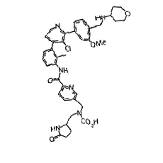 COc1cc(-c2nccc(-c3cccc(NC(=O)c4ccc(CN(CC5CCC(=O)N5)C(=O)O)cn4)c3C)c2Cl)ccc1CNC1CCOCC1